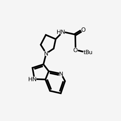 CC(C)(C)OC(=O)NC1CCN(c2c[nH]c3cccnc23)C1